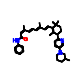 CC1=C(/C=C/C(C)=C/C=C/C(C)=C\C(=O)Nc2ccccc2)C(C)(C)CCC1c1ccc(N2CCCC(C)C2)cn1